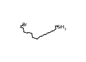 CC(C[SiH3])C(C)C/C=C\CCC#CCCC#CCCC#CCCC#CCCC/C=C\CCC/C=C\CC/C=C\CCC#CCC/C=C\CC/C=C\CC(C)C(C)CCBr